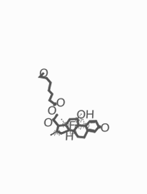 C[C@@H]1CC2[C@@H]3CCC4=CC(=O)C=C[C@]4(C)[C@@]3(F)[C@@H](O)C[C@]2(C)C1C(=O)COC(=O)CCCCC1CO1